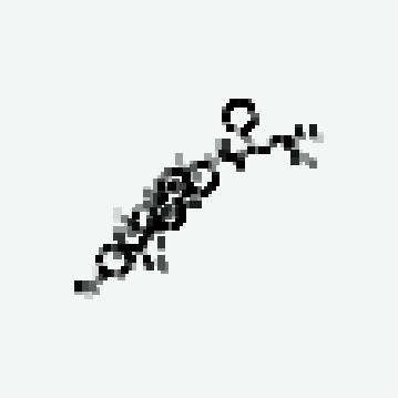 C[C@H]1CC[C@@]2(OC1)O[C@H]1C[C@H]3[C@@H]4CC[C@@H]5C[C@H](NC(=O)N(CCN(C)C)C6CCCCC6)CC[C@]5(C)[C@H]4CC[C@]3(C)[C@H]1[C@@H]2C